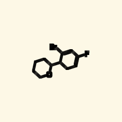 FC1=CCC(C2CCCCO2)C(Br)=C1